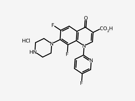 Cl.O=C(O)c1cn(-c2ccc(F)cn2)c2c(F)c(N3CCNCC3)c(F)cc2c1=O